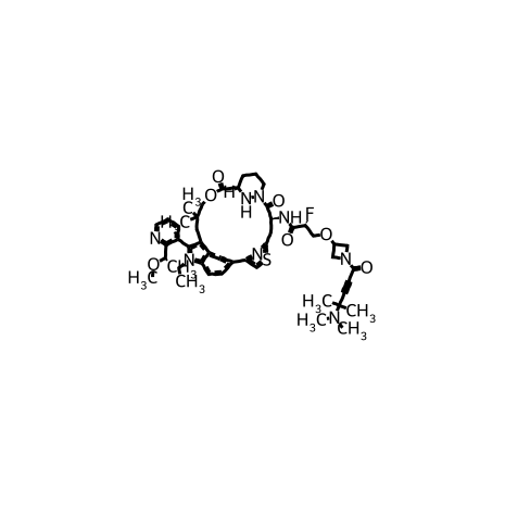 CCn1c(-c2cccnc2[C@H](C)OC)c2c3cc(ccc31)-c1csc(n1)C[C@H](NC(=O)[C@H](F)COC1CN(C(=O)C#CC(C)(C)N(C)C)C1)C(=O)N1CCC[C@H](N1)C(=O)OCC(C)(C)C2